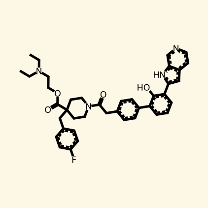 CCN(CC)CCOC(=O)C1(Cc2ccc(F)cc2)CCN(C(=O)Cc2ccc(-c3cccc(-c4cc5ccncc5[nH]4)c3O)cc2)CC1